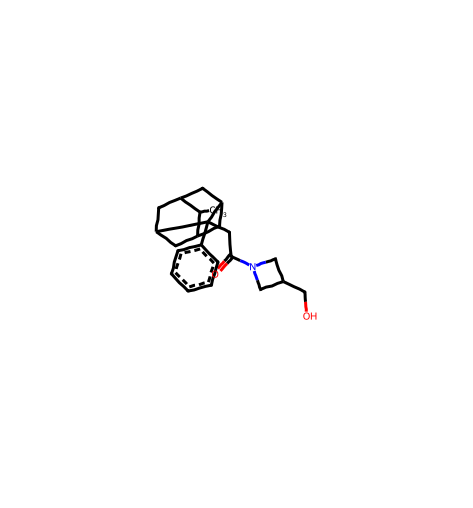 CC1C2CC3CC1CC(C2)C3(CC(=O)N1CC(CO)C1)c1ccccc1